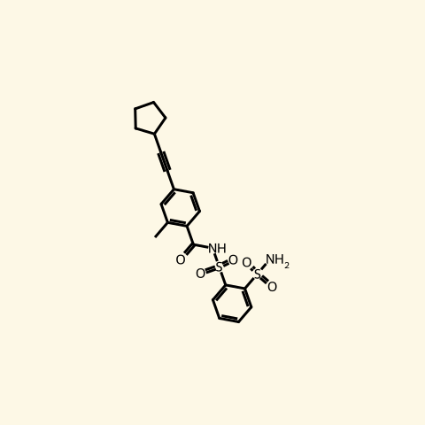 Cc1cc(C#CC2CCCC2)ccc1C(=O)NS(=O)(=O)c1ccccc1S(N)(=O)=O